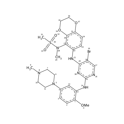 COc1ccc(N2CCN(C)CC2)cc1Nc1ncc(Br)c(Nc2ccc3c(c2N(C)S(C)(=O)=O)OCCO3)n1